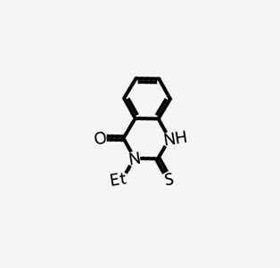 CCn1c(=S)[nH]c2ccccc2c1=O